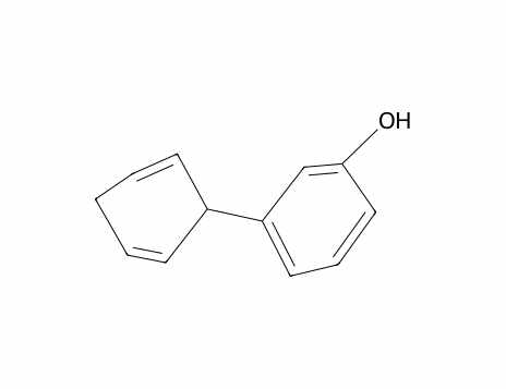 Oc1cccc(C2C=CCC=C2)c1